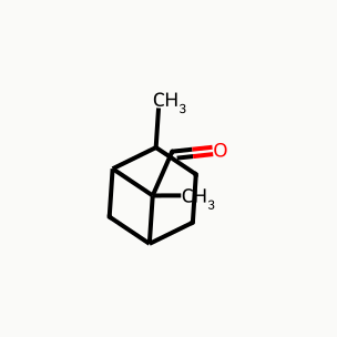 CC1CCC2CC1C2(C)C=O